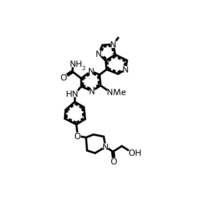 CNc1nc(Nc2ccc(OC3CCN(C(=O)CO)CC3)cc2)c(C(N)=O)nc1-c1cncc2c1ncn2C